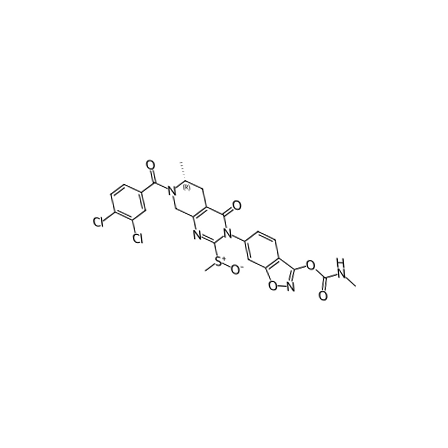 CNC(=O)Oc1noc2cc(-n3c([S+](C)[O-])nc4c(c3=O)C[C@@H](C)N(C(=O)c3ccc(Cl)c(Cl)c3)C4)ccc12